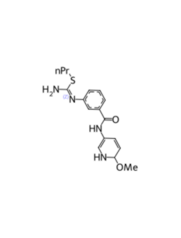 CCCS/C(N)=N\c1cccc(C(=O)NC2=CNC(OC)C=C2)c1